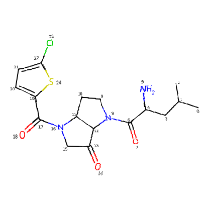 CC(C)CC(N)C(=O)N1CCC2C1C(=O)CN2C(=O)c1ccc(Cl)s1